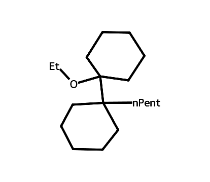 CCCCCC1(C2(OCC)CCCCC2)CCCCC1